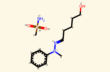 CN(N=CCCCCO)c1ccccc1.CS(N)(=O)=O